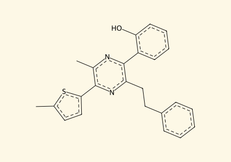 Cc1ccc(-c2nc(CCc3ccccc3)c(-c3ccccc3O)nc2C)s1